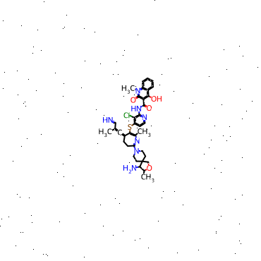 CC(=C=C1CCC(N2CCC3(CC2)COC(C)C3N)=NC(C)=C1Sc1ccnc(NC(=O)c2c(O)c3ccccc3n(C)c2=O)c1Cl)C=N